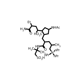 CCC[N+](CCC)(CCC)CC(C)CC(CC1CC(NC(C)=O)CC1C(CC(CC)C(N)=O)C(=O)O)C(=O)NC(C)(C)CS(=O)(=O)O